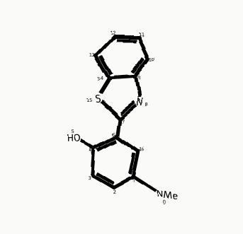 CNc1ccc(O)c(-c2nc3ccccc3s2)c1